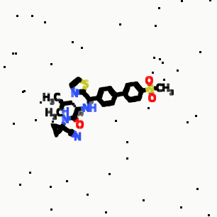 CC(C)C[C@H](N[C@@H](c1ccc(-c2ccc(S(C)(=O)=O)cc2)cc1)c1nccs1)C(=O)NC1(C#N)CC1